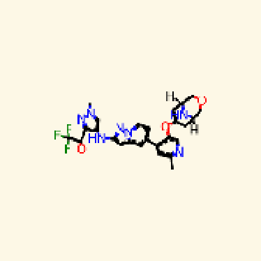 Cc1cc(-c2ccn3nc(Nc4cn(C)nc4C(=O)C(F)(F)F)cc3c2)c(OC2C[C@H]3COC[C@@H](C2)N3)cn1